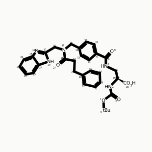 CC(C)(C)OC(=O)N[C@@H](CNC(=O)c1ccc(CN(Cc2nc3ccccc3[nH]2)C(=O)CCc2ccccc2)cc1)C(=O)O